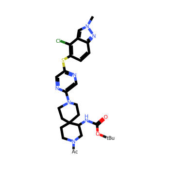 CC(=O)N1CCC2(CCN(c3cnc(Sc4ccc5nn(C)cc5c4Cl)cn3)CC2)C(NC(=O)OC(C)(C)C)C1